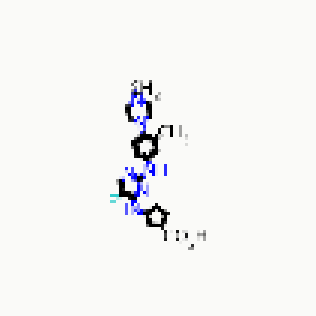 Cc1cc(Nc2ncc(F)c(NC3CCC(C(=O)O)C3)n2)ccc1N1CCN(C)CC1